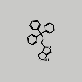 C1=C2NOCC2C(COC(c2ccccc2)(c2ccccc2)c2ccccc2)O1